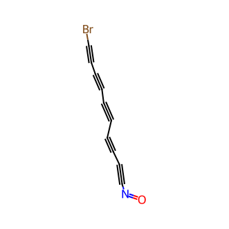 O=NC#CC#CC#CC#CC#CBr